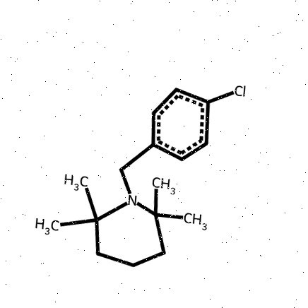 CC1(C)CCCC(C)(C)N1Cc1ccc(Cl)cc1